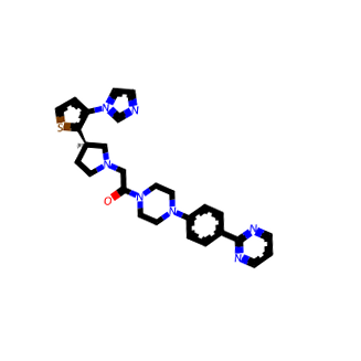 O=C(CN1CC[C@@H](c2sccc2-n2ccnc2)C1)N1CCN(c2ccc(-c3ncccn3)cc2)CC1